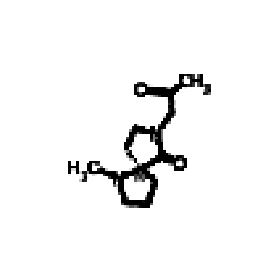 CC(=O)CN1CC[C@@]2(CCCN2C)C1=O